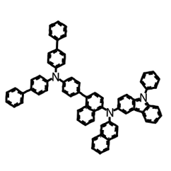 c1ccc(-c2ccc(N(c3ccc(-c4ccccc4)cc3)c3ccc(-c4ccc(N(c5ccc6ccccc6c5)c5ccc6c(c5)c5ccccc5n6-c5ccccc5)c5ccccc45)cc3)cc2)cc1